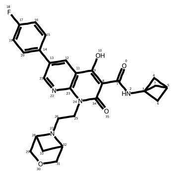 O=C(NC12CC(C1)C2)c1c(O)c2cc(-c3ccc(F)cc3)cnc2n(CCN2C3COCC2C3)c1=O